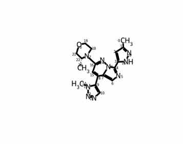 Cc1cc(-c2ncc3c(-c4cnnn4C)cc(N4CCOC[C@H]4C)nn23)[nH]n1